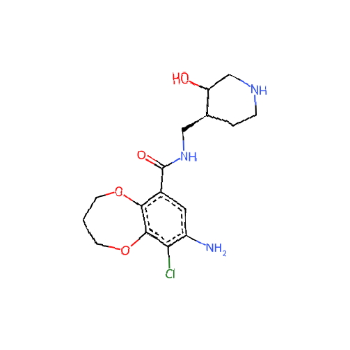 Nc1cc(C(=O)NC[C@@H]2CCNCC2O)c2c(c1Cl)OCCCO2